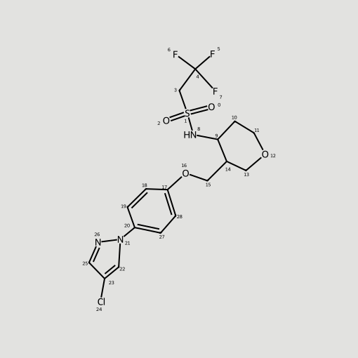 O=S(=O)(CC(F)(F)F)NC1CCOCC1COc1ccc(-n2cc(Cl)cn2)cc1